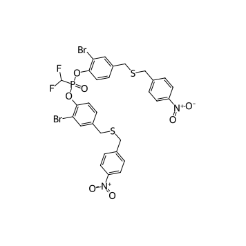 O=[N+]([O-])c1ccc(CSCc2ccc(OP(=O)(Oc3ccc(CSCc4ccc([N+](=O)[O-])cc4)cc3Br)C(F)F)c(Br)c2)cc1